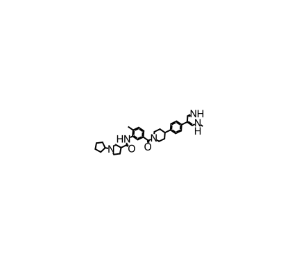 CN/C=C(\C=N)c1ccc(C2CCN(C(=O)c3ccc(C)c(NC(=O)C4CCN(C5CCCC5)C4)c3)CC2)cc1